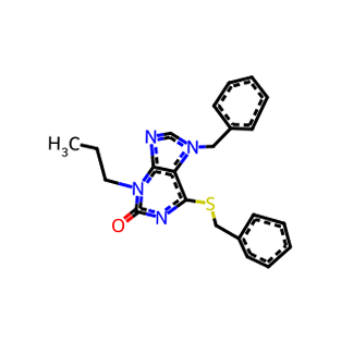 CCCn1c(=O)nc(SCc2ccccc2)c2c1ncn2Cc1ccccc1